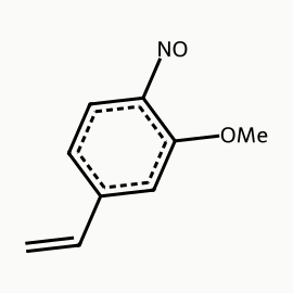 C=Cc1ccc(N=O)c(OC)c1